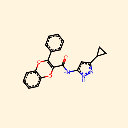 O=C(Nc1cc(C2CC2)n[nH]1)C1=C(c2ccccc2)Oc2ccccc2O1